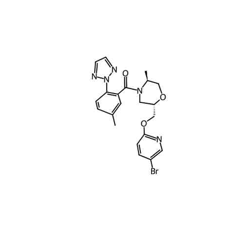 Cc1ccc(-n2nccn2)c(C(=O)N2C[C@@H](COc3ccc(Br)cn3)OC[C@@H]2C)c1